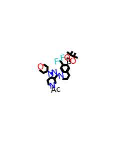 CC(=O)N1CCc2c(c(N3CCCc4cc(B5OC(C)(C)C(C)(C)O5)c(C(F)F)cc43)nn2C2CCOCC2)C1